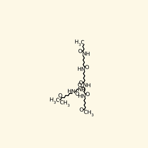 CCCCC(=O)NCCCCCC(=O)NCCCCCC(=O)NC(CCC(=O)NCCCCCC(C)=O)C(=O)NCC(=O)NCCCCCC(=O)C(C)C